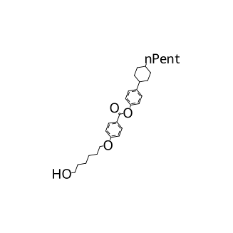 CCCCCC1CCC(c2ccc(OC(=O)c3ccc(OCCCCCCO)cc3)cc2)CC1